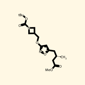 COC(=O)C[C@@H](C)Cc1cc(OCC2CN(C(=O)OC(C)(C)C)C2)no1